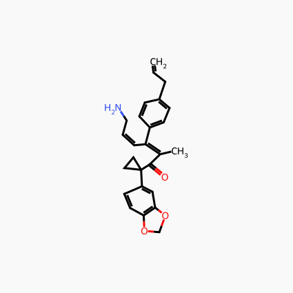 C=CCc1ccc(C(/C=C\CN)=C(C)C(=O)C2(c3ccc4c(c3)OCO4)CC2)cc1